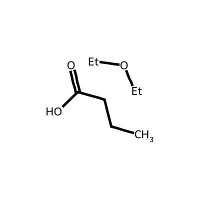 CCCC(=O)O.CCOCC